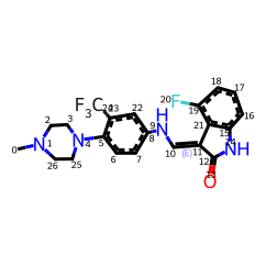 CN1CCN(c2ccc(N/C=C3/C(=O)Nc4cccc(F)c43)cc2C(F)(F)F)CC1